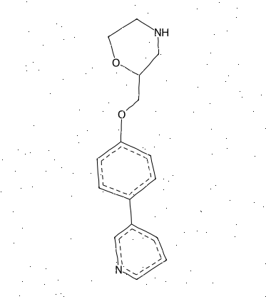 c1cncc(-c2ccc(OCC3CNCCO3)cc2)c1